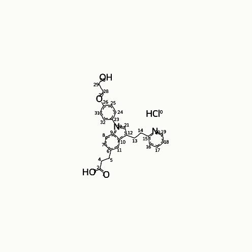 Cl.O=C(O)CCc1ccc2c(c1)c(CCc1ccccn1)cn2-c1ccc(OCCO)cc1